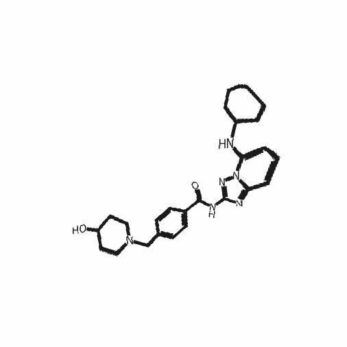 O=C(Nc1nc2cccc(NC3CCCCC3)n2n1)c1ccc(CN2CCC(O)CC2)cc1